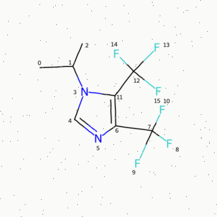 CC(C)n1cnc(C(F)(F)F)c1C(F)(F)F